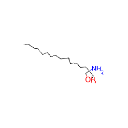 CCCCCCCCCCCCCCC(N)(CC)CO